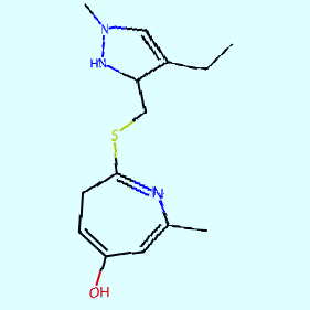 CCC1=CN(C)NC1CSC1=NC(C)=CC(O)=CC1